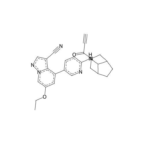 C#CC(=O)N1CC2CCC(C1)C2Nc1ccc(-c2cc(OCC)cn3ncc(C#N)c23)cn1